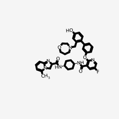 CC1=CC=CC2=NC(C(=O)N[C@H]3CC[C@@H](NC(=O)c4cc(F)cnc4Oc4cccc(-c5ccc(O)cc5CN5CCCOCC5)c4)CC3)CN12